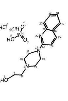 Cl.Cl.O=[N+]([O-])O.OCCN1CCN(c2ccc3ccccc3n2)CC1